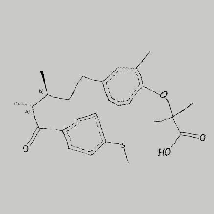 CSc1ccc(C(=O)[C@H](C)[C@@H](C)CCc2ccc(OC(C)(C)C(=O)O)c(C)c2)cc1